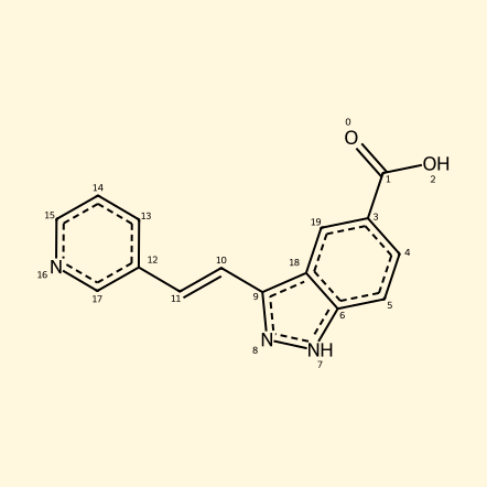 O=C(O)c1ccc2[nH]nc(C=Cc3cccnc3)c2c1